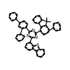 CC1(C)c2ccccc2-c2c(-c3nc(-c4ccc(-c5ccccc5)cc4-c4ccccc4)nc(-c4cccc5c4sc4ccccc45)n3)ccc(-c3ccccc3)c21